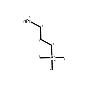 CCCCCC[P+](C)(C)C